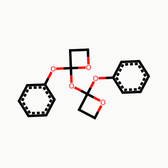 c1ccc(OC2(OC3(Oc4ccccc4)CCO3)CCO2)cc1